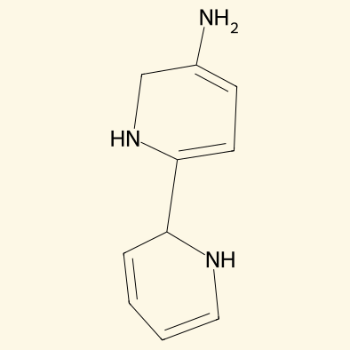 NC1=CC=C(C2C=CC=CN2)NC1